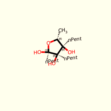 CCCCC[C@@]1(O)[C@@](O)(CCCCC)[C@@H](C)O[C@@]1(O)CCCCC